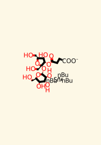 CCC[CH2][Sn+]([CH2]CCC)[CH2]CCC.O=C([O-])CCC(=O)O[C@H]1[C@H](O)[C@@H](CO)O[C@@]1(CO)O[C@H]1O[C@H](CO)[C@@H](O)[C@H](O)[C@H]1O